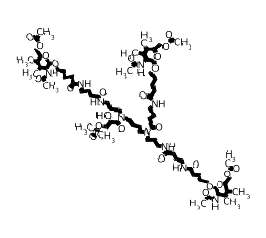 CC(=O)NC1C(OCCCCC(=O)NCCCC(=O)NCCCN(CCCCN(CCCNC(=O)CCCNC(=O)CCCCOC2OC(COC(C)=O)C(C)C(C)C2NC(C)=O)C(=O)C(O)COP(C)(C)=O)C(=O)CCCNC(=O)CCCCOC2OC(COC(C)=O)C(C)C(C)C2NC(C)=O)OC(COC(C)=O)C(C)C1C